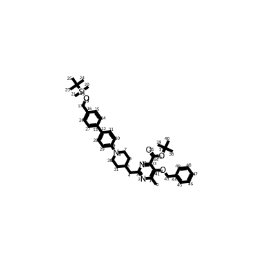 Cc1nc(CC2CCN(c3ccc(-c4ccc(CO[Si](C)(C)C(C)(C)C)cc4)cc3)CC2)nc(C(=O)OC(C)(C)C)c1OCc1ccccc1